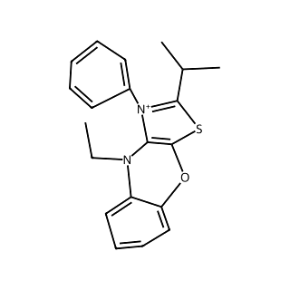 CCN1c2ccccc2Oc2sc(C(C)C)[n+](-c3ccccc3)c21